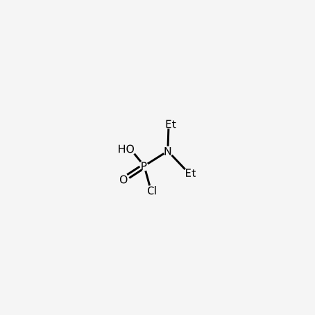 CCN(CC)P(=O)(O)Cl